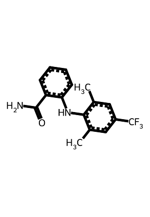 Cc1cc(C(F)(F)F)cc(C)c1Nc1ccccc1C(N)=O